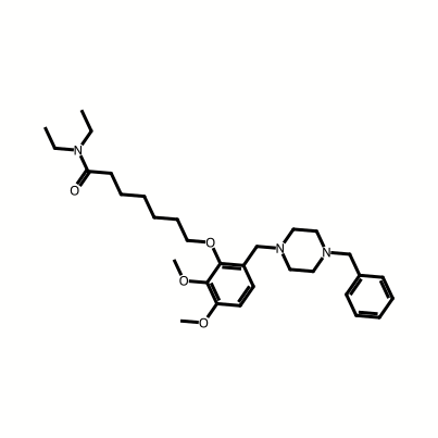 CCN(CC)C(=O)CCCCCCOc1c(CN2CCN(Cc3ccccc3)CC2)ccc(OC)c1OC